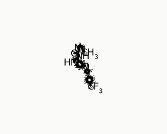 Cn1ccnc1C(=O)Nc1c[nH]c2ccc(O[C@H]3C[C@@H](c4ccc(C(F)(F)F)cc4)C3)cc12